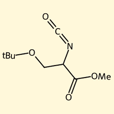 COC(=O)C(COC(C)(C)C)N=C=O